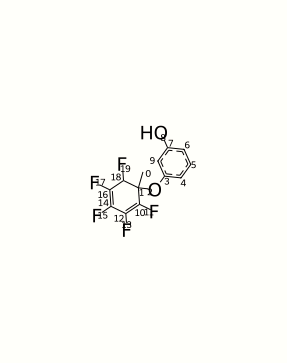 CC1(Oc2cccc(O)c2)C(F)=C(F)C(F)=C(F)C1F